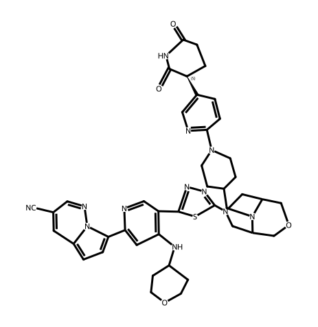 N#Cc1cnn2c(-c3cc(NC4CCOCC4)c(-c4nnc(N5CC6COCC(C5)N6CC5CCN(c6ccc([C@@H]7CCC(=O)NC7=O)cn6)CC5)s4)cn3)ccc2c1